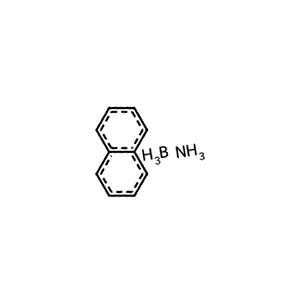 B.N.c1ccc2ccccc2c1